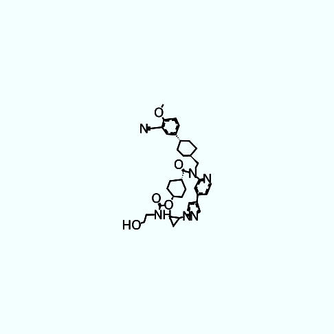 COc1ccc([C@H]2CC[C@H](CN(c3cc(-c4cnn(C5CC5)c4)ccn3)C(=O)[C@H]3CC[C@H](OC(=O)NCCO)CC3)CC2)cc1C#N